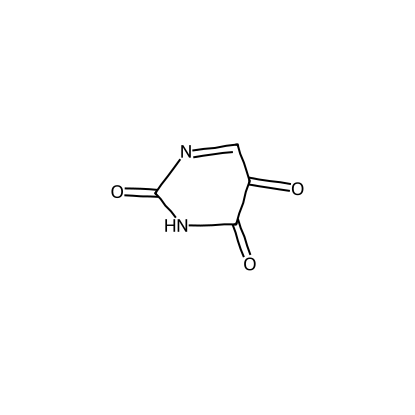 O=C1N=CC(=O)C(=O)N1